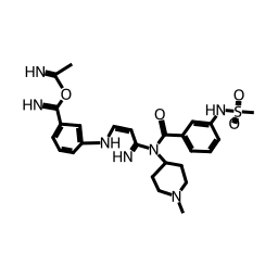 CC(=N)OC(=N)c1cccc(N/C=C\C(=N)N(C(=O)c2cccc(NS(C)(=O)=O)c2)C2CCN(C)CC2)c1